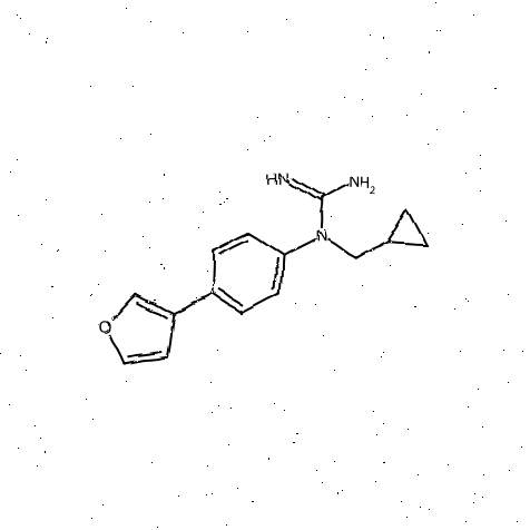 N=C(N)N(CC1CC1)c1ccc(-c2ccoc2)cc1